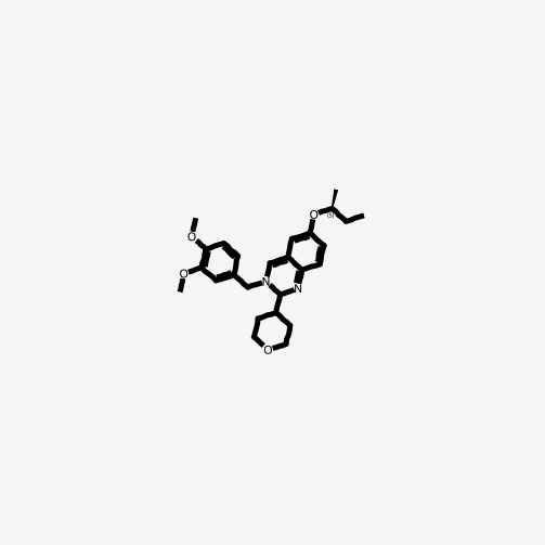 CC[C@H](C)Oc1ccc2c(c1)=CN(Cc1ccc(OC)c(OC)c1)C(C1CCOCC1)N=2